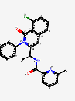 Cc1cccc(C(=O)N[C@@H](C)c2cc3cccc(Cl)c3c(=O)n2-c2ccccc2)n1